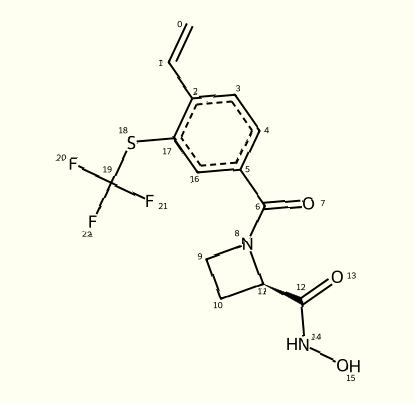 C=Cc1ccc(C(=O)N2CC[C@@H]2C(=O)NO)cc1SC(F)(F)F